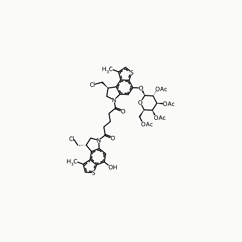 CC(=O)OC[C@H]1O[C@@H](Oc2cc3c(c4c(C)csc24)[C@H](CCl)CN3C(=O)CCCC(=O)N2C[C@@H](CCl)c3c2cc(O)c2scc(C)c32)[C@H](OC(C)=O)[C@@H](OC(C)=O)[C@H]1OC(C)=O